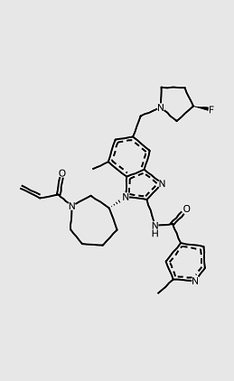 C=CC(=O)N1CCCC[C@@H](n2c(NC(=O)c3ccnc(C)c3)nc3cc(CN4CC[C@@H](F)C4)cc(C)c32)C1